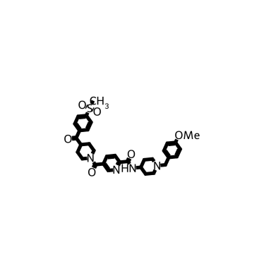 COc1ccc(CN2CCC(NC(=O)c3ccc(C(=O)N4CCC(C(=O)c5ccc(S(C)(=O)=O)cc5)CC4)cn3)CC2)cc1